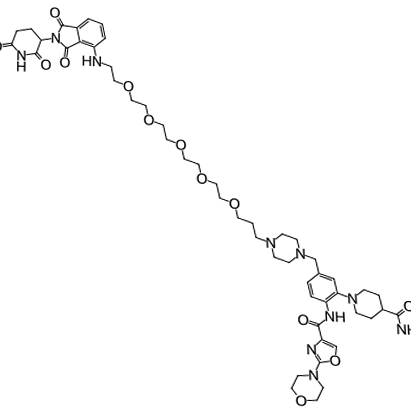 NC(=O)C1CCN(c2cc(CN3CCN(CCCOCCOCCOCCOCCOCCNc4cccc5c4C(=O)N(C4CCC(=O)NC4=O)C5=O)CC3)ccc2NC(=O)c2coc(N3CCOCC3)n2)CC1